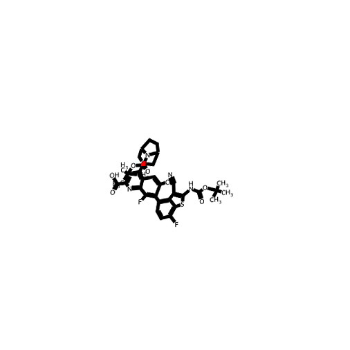 CC(C)(C)OC(=O)Nc1sc2c(F)ccc(-c3c(Cl)cc4c(N5CC6CCC(C5)N6C(=O)OC(C)(C)C)nc(C(=O)O)nc4c3F)c2c1C#N